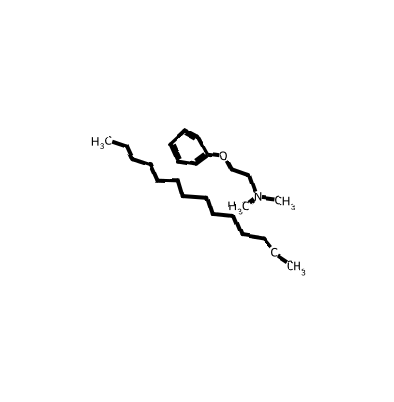 CCCCCCCCCCCCCC.CN(C)CCOc1ccccc1